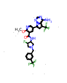 COc1ncc(-c2cc(C(F)(F)F)c3c(N)ncnn23)cc1C(=O)NC1CN(Cc2cccc(C(F)(F)F)c2)CC1F